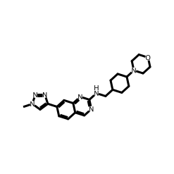 Cn1cc(-c2ccc3cnc(NCC4CCC(N5CCOCC5)CC4)nc3c2)nn1